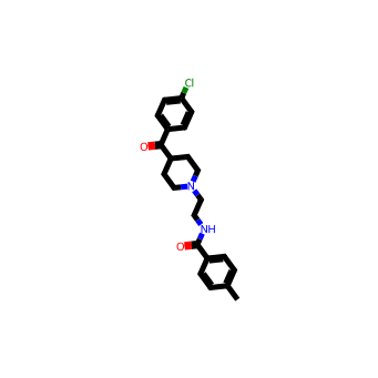 Cc1ccc(C(=O)NCCN2CCC(C(=O)c3ccc(Cl)cc3)CC2)cc1